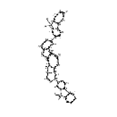 CC1(C)c2ccccc2-c2ccc(C3=CC4c5ccc6c(oc7ccc(-c8ccc9c(c8)C(C)(C)c8ccccc8-9)cc76)c5OC4C=C3)cc21